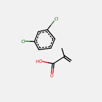 C=C(C)C(=O)O.Clc1cccc(Cl)c1